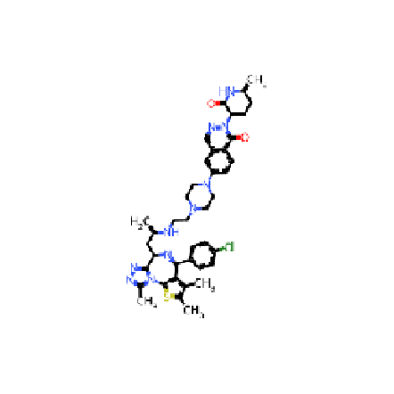 C=C(CC1N=C(c2ccc(Cl)cc2)c2c(sc(C)c2C)-n2c(C)nnc21)NCCN1CCN(c2ccc3c(=O)n(C4CCC(=C)NC4=O)ncc3c2)CC1